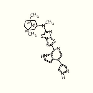 CN(c1nc2sc(-c3ncc(-c4cn[nH]c4)c4cc[nH]c34)nc2s1)C1C[C@]2(C)CC[C@](C)(C1)N2